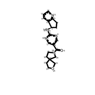 O=C(c1cnc(N[C@@H]2CCc3ncccc32)nc1)N1CCC2(CCOC2)C1